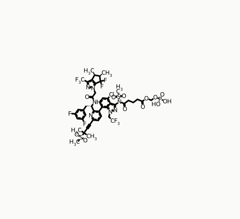 C[C@@H]1c2c(C(F)(F)F)nn(CC(=O)N[C@@H](Cc3cc(F)cc(F)c3)c3nc(C#CC(C)(C)S(C)(=O)=O)ccc3-c3ccc(Cl)c4c(N(C(=O)CCCC(=O)OCOP(=O)(O)O)S(C)(=O)=O)nn(CC(F)(F)F)c34)c2C(F)(F)[C@@H]1C